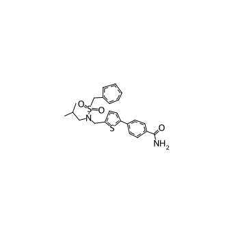 CC(C)CN(Cc1ccc(-c2ccc(C(N)=O)cc2)s1)S(=O)(=O)Cc1ccccc1